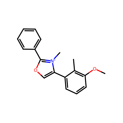 COc1cccc(-c2coc(-c3ccccc3)[n+]2C)c1C